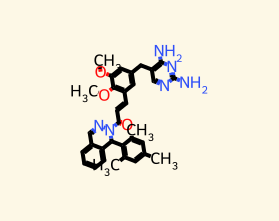 COc1cc(Cc2cnc(N)nc2N)cc(C=CC(=O)N2N=Cc3ccccc3C2c2c(C)cc(C)cc2C)c1OC